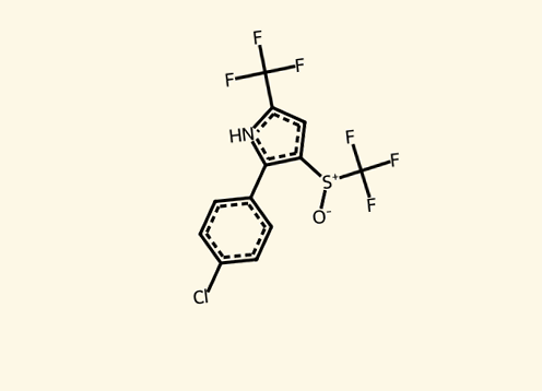 [O-][S+](c1cc(C(F)(F)F)[nH]c1-c1ccc(Cl)cc1)C(F)(F)F